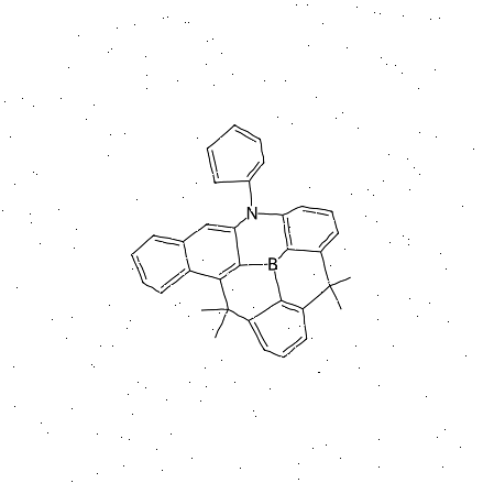 CC1(C)c2cccc3c2B2c4c1cccc4C(C)(C)c1c2c(cc2ccccc12)N3c1ccccc1